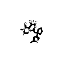 Cc1cc(C2(Cc3nc(=O)c(O)c4n3C[C@H](C)N(C)C4=O)CCCC2)cs1